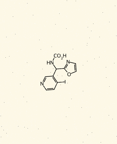 O=C(O)NC(c1ncco1)c1cnccc1I